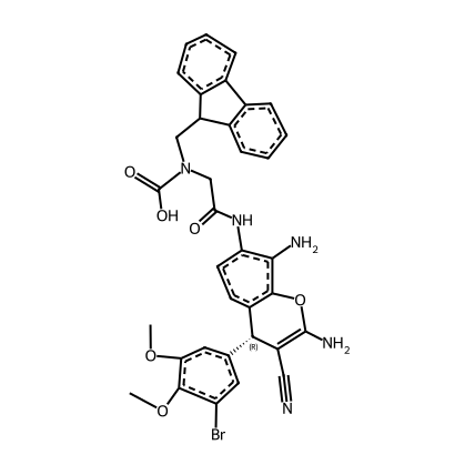 COc1cc([C@H]2C(C#N)=C(N)Oc3c2ccc(NC(=O)CN(CC2c4ccccc4-c4ccccc42)C(=O)O)c3N)cc(Br)c1OC